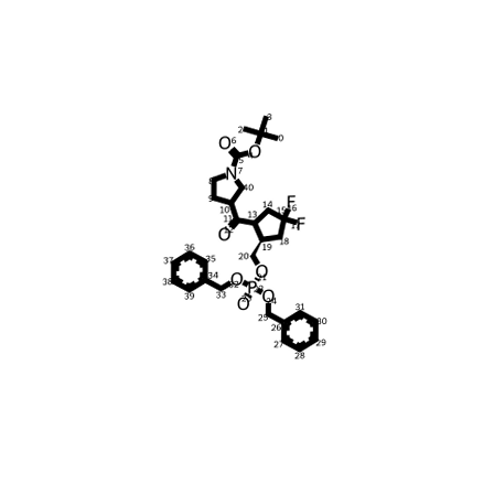 CC(C)(C)OC(=O)N1CCC(C(=O)C2CC(F)(F)C[C@H]2COP(=O)(OCc2ccccc2)OCc2ccccc2)C1